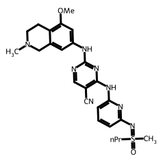 CCCS(C)(=O)=Nc1cccc(Nc2nc(Nc3cc4c(c(OC)c3)CCN(C)C4)ncc2C#N)n1